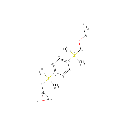 CCOCS(C)(C)c1ccc(S(C)(C)CC2CO2)cc1